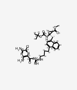 COC(=O)C1S[C@]1(Cc1ccc(CCCCNC(=N)NC(=O)c2nc(Cl)c(N)nc2N)c2ccccc12)NC(=O)OC(C)(C)C